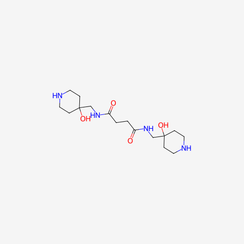 O=C(CCC(=O)NCC1(O)CCNCC1)NCC1(O)CCNCC1